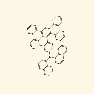 C1=CCCC(c2c(-c3ccccc3)cc(-c3ccccc3)c3c4ccccc4c4cc(N(c5cccc6ccccc56)c5cccc6ccccc56)ccc4c23)=C1